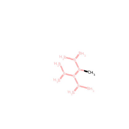 BB(B)B(C)B(B(B)B)B(B)B